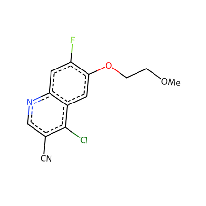 COCCOc1cc2c(Cl)c(C#N)cnc2cc1F